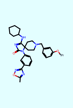 Cc1nc(-c2cccc(N3C(=O)N=C(NC4CCCCC4)C34CCN(Cc3cccc(OC(C)C)c3)CC4)c2)no1